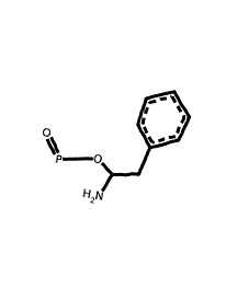 NC(Cc1ccccc1)OP=O